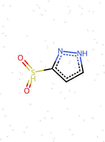 O=[SH](=O)c1cc[nH]n1